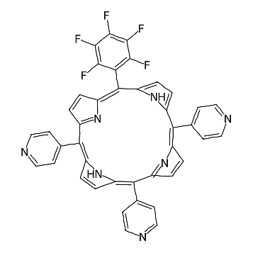 Fc1c(F)c(F)c(-c2c3nc(c(-c4ccncc4)c4ccc([nH]4)c(-c4ccncc4)c4nc(c(-c5ccncc5)c5ccc2[nH]5)C=C4)C=C3)c(F)c1F